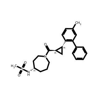 Cc1ccc([C@@H]2C[C@H]2C(=O)N2CCC[C@H](NS(C)(=O)=O)CC2)c(-c2ccccc2)c1